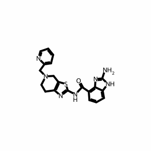 Nc1nc2c(C(=O)Nc3nc4c(s3)CN(Cc3ccccn3)CC4)cccc2[nH]1